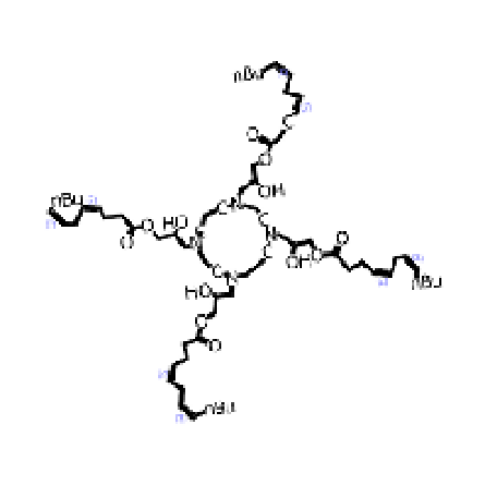 CCCC/C=C\C/C=C\CCC(=O)OCC(O)CN1CCCN(CC(O)COC(=O)CC/C=C\C/C=C\CCCC)CCN(CC(O)COC(=O)CC/C=C\C/C=C\CCCC)CCCN(CC(O)COC(=O)CC/C=C\C/C=C\CCCC)CC1